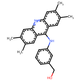 Cc1cc2nc3cc(C)c(C)cc3c(Nc3cccc(CO)c3)c2cc1C